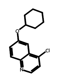 Clc1ccnc2ccc(OC3CCCCC3)cc12